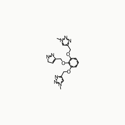 Cn1cc(COc2cccc(OCc3cn(C)nn3)c2OCC2=CCN=N2)nn1